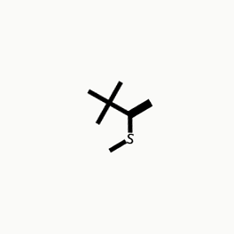 C=C(SC)C(C)(C)C